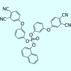 N#Cc1ccc(Oc2cccc(OP(=O)(Oc3cccc(Oc4ccc(C#N)c(C#N)c4)c3)Oc3cccc4ccccc34)c2)cc1C#N